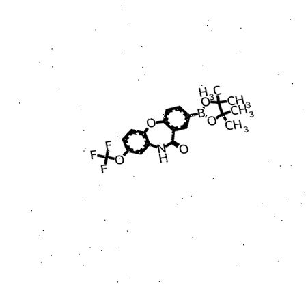 CC1(C)OB(c2ccc3c(c2)C(=O)Nc2cc(OC(F)(F)F)ccc2O3)OC1(C)C